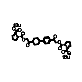 CC(C)(C)OC(=O)N1CCC[C@@H]1C(=O)OCC(=O)c1ccc(C2CCC(C(=O)COC(=O)[C@@H]3CCCN3C(=O)OC(C)(C)C)CC2)cc1